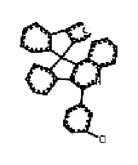 Clc1cccc(-c2nc3ccccc3c3c2-c2ccccc2C32c3ccccc3-c3ccccc32)c1